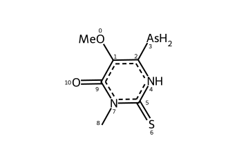 COc1c([AsH2])[nH]c(=S)n(C)c1=O